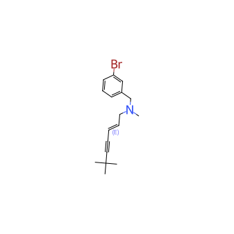 CN(C/C=C/C#CC(C)(C)C)Cc1cccc(Br)c1